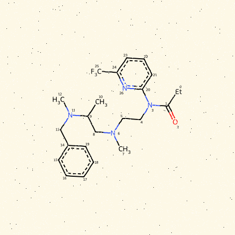 CCC(=O)N(CCN(C)CC(C)N(C)Cc1ccccc1)c1cccc(C(F)(F)F)n1